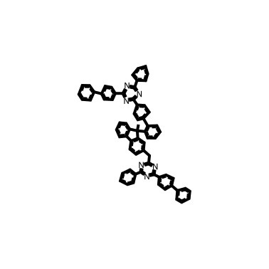 CC1(c2ccccc2-c2ccc(-c3nc(-c4ccccc4)nc(-c4ccc(-c5ccccc5)cc4)n3)cc2)c2ccccc2-c2ccc(Cc3nc(-c4ccccc4)nc(-c4ccc(-c5ccccc5)cc4)n3)cc21